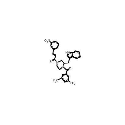 O=C(C=Cc1cccc([N+](=O)[O-])c1)N1CCN(C(=O)c2cc(C(F)(F)F)cc(C(F)(F)F)c2)[C@H](Cc2c[nH]c3ccccc23)C1